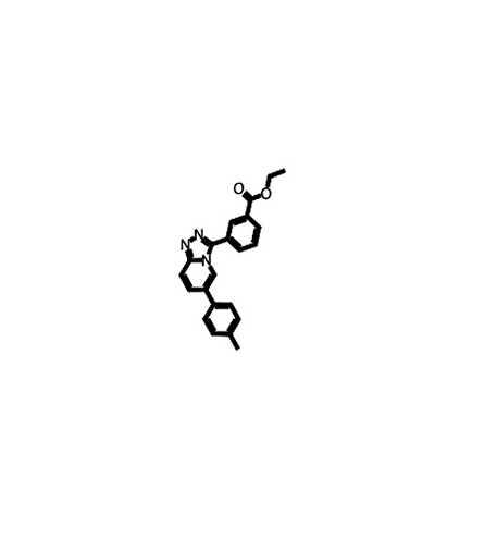 CCOC(=O)c1cccc(-c2nnc3ccc(-c4ccc(C)cc4)cn23)c1